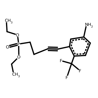 CCOP(=O)(CCC#Cc1cc(N)ccc1C(F)(F)F)OCC